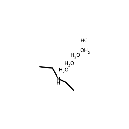 CCNCC.Cl.O.O.O.O